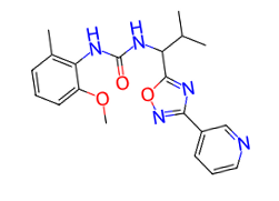 COc1cccc(C)c1NC(=O)NC(c1nc(-c2cccnc2)no1)C(C)C